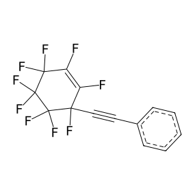 FC1=C(F)C(F)(C#Cc2ccccc2)C(F)(F)C(F)(F)C1(F)F